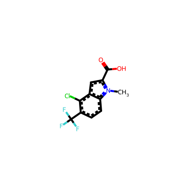 Cn1c(C(=O)O)cc2c(Cl)c(C(F)(F)F)ccc21